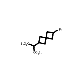 CCCC1CC2(C1)CC(C(C(=O)OCC)C(=O)OCC)C2